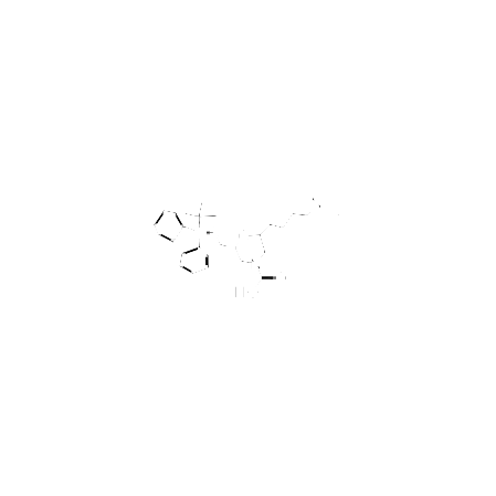 CC(C)(C)[Si](OC[C@@H]1CN(C(=O)O)CC(CCCCN)O1)(c1ccccc1)c1ccccc1